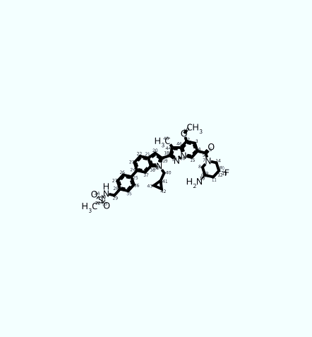 COc1cc(C(=O)N2C[C@H](N)C[C@@H](F)C2)cn2nc(-c3cc4ccc(-c5ccc(CNS(C)(=O)=O)cc5)cc4n3CC3CC3)c(C)c12